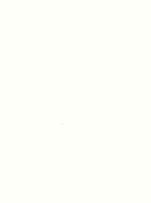 Cc1cccc(-n2ncc3c(CN)cc(-c4cccc(C(C)N)n4)cc32)n1